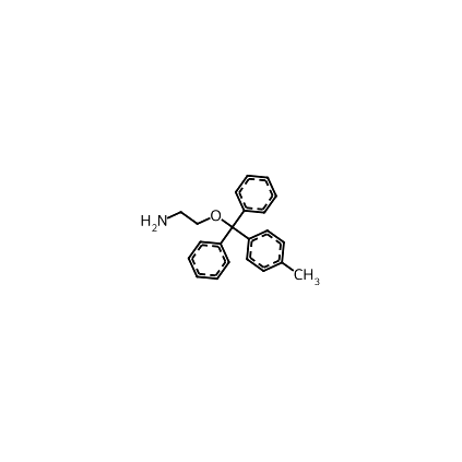 Cc1ccc(C(OCCN)(c2ccccc2)c2ccccc2)cc1